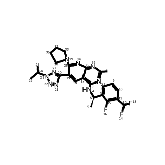 Cc1nc(N[C@H](C)c2cccc(C(F)F)c2F)c2cc(-c3nnn(C(C)C)n3)c(N3CCCC3)nc2n1